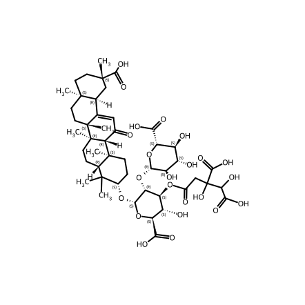 CC1(C)[C@@H](O[C@H]2O[C@H](C(=O)O)[C@@H](O)[C@H](OC(=O)CC(O)(C(=O)O)C(O)C(=O)O)[C@H]2O[C@@H]2O[C@H](C(=O)O)[C@@H](O)[C@H](O)[C@H]2O)CC[C@]2(C)[C@H]3C(=O)C=C4[C@@H]5C[C@@](C)(C(=O)O)CC[C@]5(C)CC[C@@]4(C)[C@]3(C)CC[C@@H]12